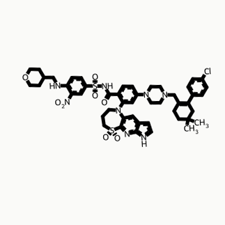 CC1(C)CCC(CN2CCN(c3ccc(C(=O)NS(=O)(=O)c4ccc(NCC5CCOCC5)c([N+](=O)[O-])c4)c(N4CCCS(=O)(=O)c5nc6[nH]ccc6cc54)c3)CC2)=C(c2ccc(Cl)cc2)C1